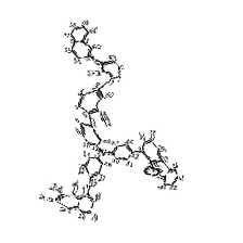 c1cc(-c2ccc(-c3cccc(N(c4ccc(-c5cccc6ccccc56)cc4)c4ccc(-c5cccc6c5oc5ccccc56)cc4)c3)cc2)cc(-c2ccc3ccccc3c2)c1